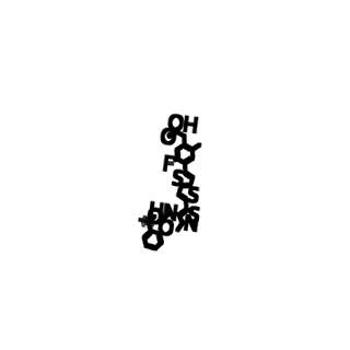 Cc1cc(-c2cc3sc(-c4snc(C)c4NC(=O)O[C@H](C)c4ccccc4)cc3s2)c(F)cc1CC(=O)O